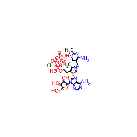 Cc1ncc(C[n+]2csc(CCOP(=O)(O)OP(=O)(O)OP(=O)(O)O)c2C)c(N)n1.Nc1ncnc2c1ncn2[C@@H]1O[C@H](CO)[C@@H](O)[C@H]1O.[Cl-]